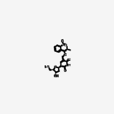 CC(C)C(OCc1cn([C@H]2C[C@H](O)[C@@H](CO)O2)c(=O)[nH]c1=O)c1ccccc1[N+](=O)[O-]